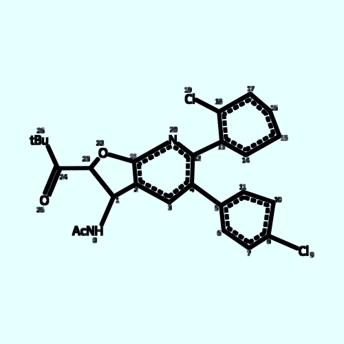 CC(=O)NC1c2cc(-c3ccc(Cl)cc3)c(-c3ccccc3Cl)nc2OC1C(=O)C(C)(C)C